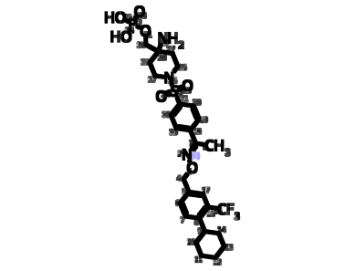 C/C(=N\OCc1ccc(C2CCCCC2)c(C(F)(F)F)c1)c1ccc(S(=O)(=O)N2CCC(N)(COP(=O)(O)O)CC2)cc1